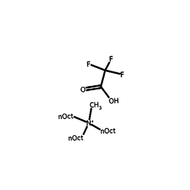 CCCCCCCC[N+](C)(CCCCCCCC)CCCCCCCC.O=C(O)C(F)(F)F